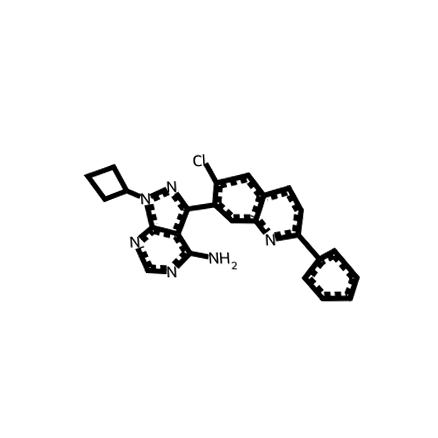 Nc1ncnc2c1c(-c1cc3nc(-c4ccccc4)ccc3cc1Cl)nn2C1CCC1